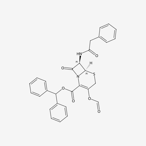 O=COC1=C(C(=O)OC(c2ccccc2)c2ccccc2)N2C(=O)[C@@H](NC(=O)Cc3ccccc3)[C@H]2SC1